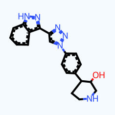 OC1CNCCC1c1ccc(-n2cc(-c3n[nH]c4ccccc34)nn2)cc1